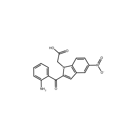 Nc1ccccc1C(=O)c1cc2cc([N+](=O)[O-])ccc2n1CC(=O)O